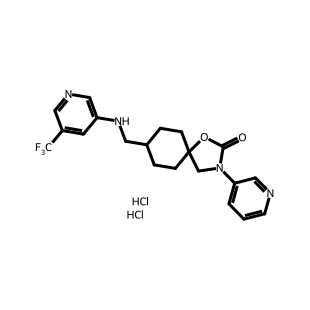 Cl.Cl.O=C1OC2(CCC(CNc3cncc(C(F)(F)F)c3)CC2)CN1c1cccnc1